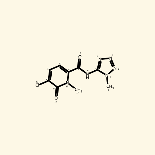 Cn1nnnc1NC(=O)c1ccc(Cl)c(=O)n1C